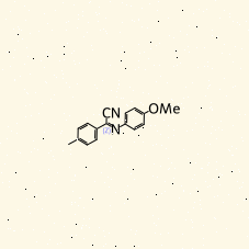 COc1ccc(/N=C(\C#N)c2ccc(C)cc2)cc1